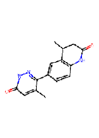 Cc1cc(=O)[nH]nc1-c1ccc2c(c1)C(C)CC(=O)N2